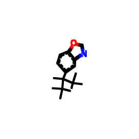 CC(C)(C)C(C)(c1ccc2ocnc2c1)C(C)(C)C